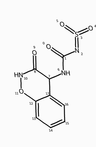 O=C(N=S(=O)=O)NC1C(=O)NOc2ccccc21